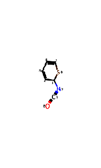 O=C=NC1C=CC=CS1